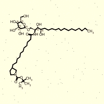 CCCCCCCCCCCCCC[C@@H](O)[C@@H](O)[C@H](CO[C@H]1O[C@H](CO)[C@H](O)[C@H](O)[C@H]1O)NC(=O)CCCCCCCCCCC1CCN(C(=O)OC(C)(C)C)C1